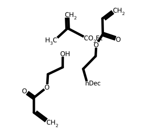 C=C(C)C(=O)OCC.C=CC(=O)OCCCCCCCCCCCC.C=CC(=O)OCCO